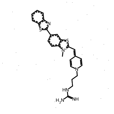 C[n+]1c(C=C2C=CN(CCCNC(=N)N)C=C2)sc2cc(-c3nc4ccccc4s3)ccc21